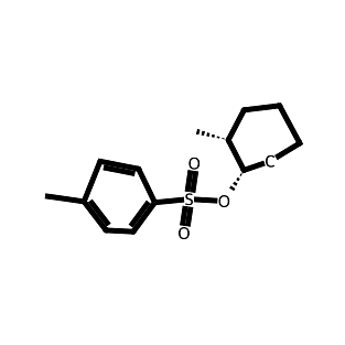 Cc1ccc(S(=O)(=O)O[C@H]2CCCC[C@H]2C)cc1